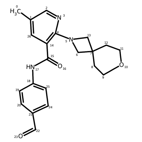 Cc1cnc(N2CC3(CCOCC3)C2)c(C(=O)Nc2ccc(C=O)cc2)c1